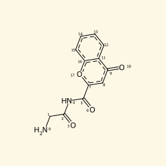 NCC(=O)NC(=O)c1cc(=O)c2ccccc2o1